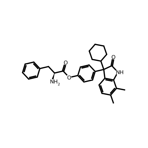 Cc1ccc2c(c1C)NC(=O)C2(c1ccc(OC(=O)[C@@H](N)Cc2ccccc2)cc1)C1CCCCC1